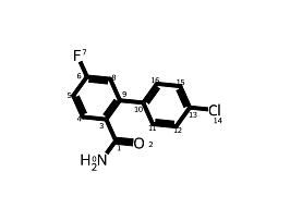 NC(=O)c1ccc(F)cc1-c1ccc(Cl)cc1